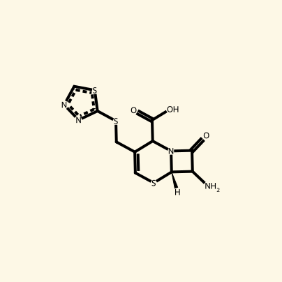 NC1C(=O)N2C(C(=O)O)C(CSc3nncs3)=CS[C@@H]12